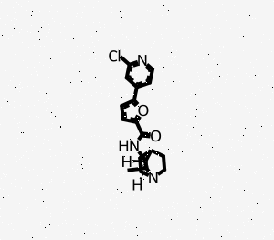 C[C@H]1[C@H](NC(=O)c2ccc(-c3ccnc(Cl)c3)o2)C2CCN1CC2